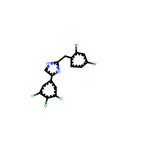 Clc1cc(-c2c[nH]c(Cc3ccc(Br)cc3Br)n2)cc(Cl)c1Cl